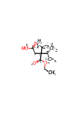 CCOC(=O)C(CC(=O)O)(C(C)C)C(C)C